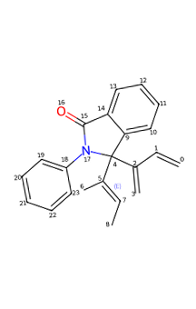 C=CC(=C)C1(/C(C)=C/C)c2ccccc2C(=O)N1c1ccccc1